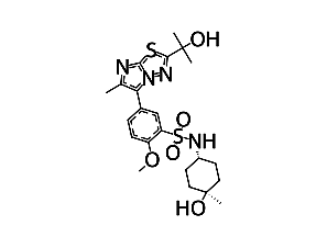 COc1ccc(-c2c(C)nc3sc(C(C)(C)O)nn23)cc1S(=O)(=O)N[C@H]1CC[C@](C)(O)CC1